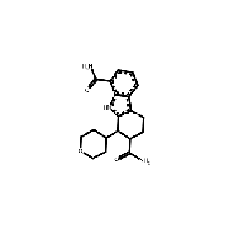 NC(=O)c1cccc2c3c([nH]c12)C(C1CCOCC1)C(C(N)=O)CC3